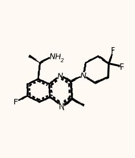 Cc1nc2cc(F)cc([C@@H](C)N)c2nc1N1CCC(F)(F)CC1